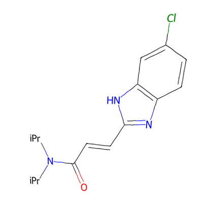 CC(C)N(C(=O)C=Cc1nc2ccc(Cl)cc2[nH]1)C(C)C